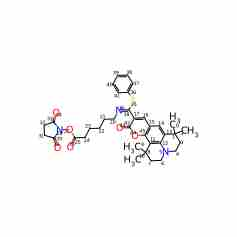 CC1(C)CCN2CCC(C)(C)c3c2c1cc1cc(/C(=N\CCCCCC(=O)ON2C(=O)CCC2=O)Sc2ccccc2)c(=O)oc31